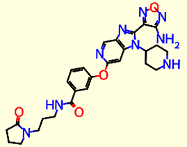 Nc1nonc1-c1nc2cnc(Oc3cccc(C(=O)NCCCN4CCCC4=O)c3)cc2n1C1CCNCC1